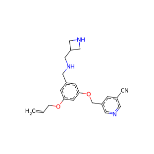 C=CCOc1cc(CNCC2CNC2)cc(OCc2cncc(C#N)c2)c1